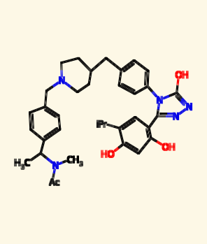 CC(=O)N(C)C(C)c1ccc(CN2CCC(Cc3ccc(-n4c(O)nnc4-c4cc(C(C)C)c(O)cc4O)cc3)CC2)cc1